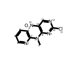 CN(c1ccccn1)c1nc(Cl)ncc1[N+](=O)[O-]